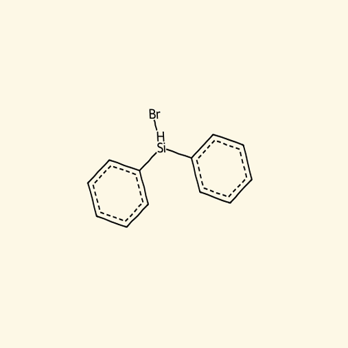 Br[SiH](c1ccccc1)c1ccccc1